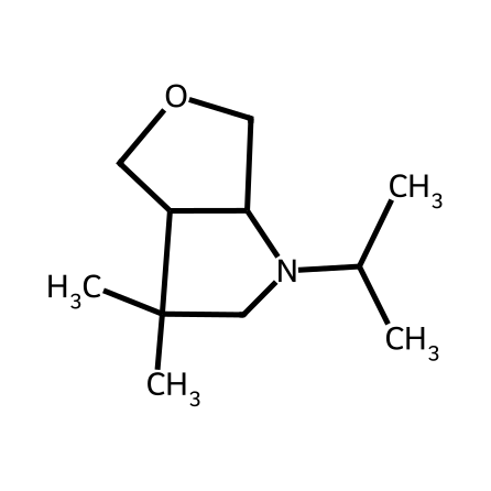 CC(C)N1CC(C)(C)C2COCC21